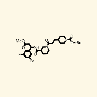 COC(=O)CC(NC(=O)[C@@H]1CCCN(C(=O)CCC2CCN(C(=O)OC(C)(C)C)CC2)C1)c1cc(F)cc(Br)c1